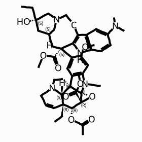 CC[C@]1(O)C[C@H]2CN(CCc3c([nH]c4ccc(N(C)C)cc34)[C@@](C(=O)OC)(c3cc4c(cc3OC)N(C)[C@@]35O[C@]3(C(=O)OC)[C@H](OC(C)=O)[C@]3(CC)C=CCN6CC[C@]45[C@@H]63)C2)C1